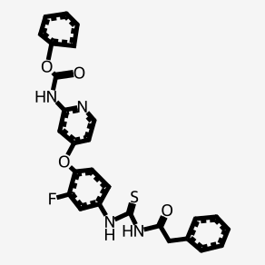 O=C(Cc1ccccc1)NC(=S)Nc1ccc(Oc2ccnc(NC(=O)Oc3ccccc3)c2)c(F)c1